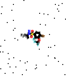 C[C@H](NS(=O)(=O)c1ccc(Br)c(OC(F)F)c1F)C(F)(F)F